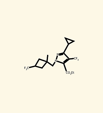 CCOC(=O)c1c(C(F)(F)F)c(C2CC2)nn1CC1(C)CC(C(F)(F)F)C1